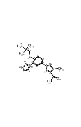 Cc1nc(-c2ccc(OCC(C)(C)C)c(-n3ccnn3)c2)sc1C(=O)O